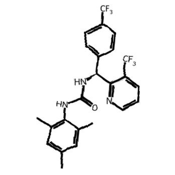 Cc1cc(C)c(NC(=O)N[C@@H](c2ccc(C(F)(F)F)cc2)c2ncccc2C(F)(F)F)c(C)c1